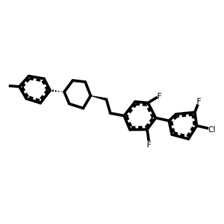 Cc1ccc([C@H]2CC[C@H](CCc3cc(F)c(-c4ccc(Cl)c(F)c4)c(F)c3)CC2)cc1